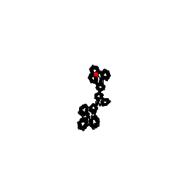 c1ccc(-c2ccccc2-n2c3ccccc3c3cc(-c4ccc5c(c4)c4ccccc4n5-c4ccc([Si](c5ccccc5)(c5ccccc5)c5ccccc5)cc4)ccc32)cc1